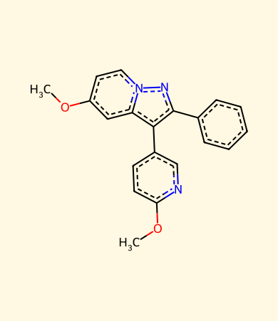 COc1ccn2nc(-c3ccccc3)c(-c3ccc(OC)nc3)c2c1